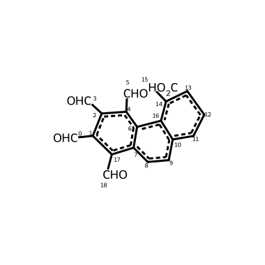 O=Cc1c(C=O)c(C=O)c2c(ccc3cccc(C(=O)O)c32)c1C=O